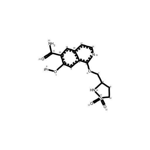 CC(C)Oc1cc2c(OCC3CCS(=O)(=O)N3)nccc2cc1C(N)=O